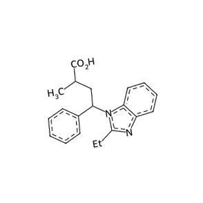 CCc1nc2ccccc2n1C(CC(C)C(=O)O)c1ccccc1